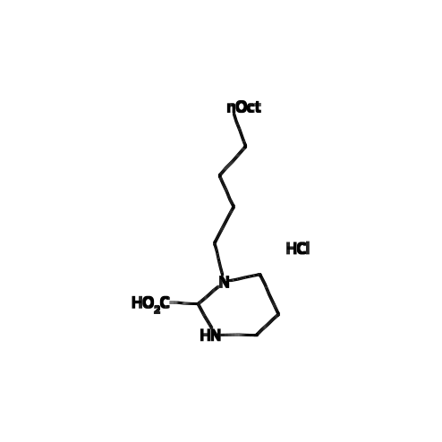 CCCCCCCCCCCCN1CCCNC1C(=O)O.Cl